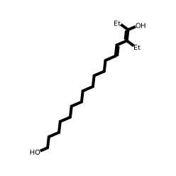 CCC(O)=C(C=CCCCCCCCCCCCCO)CC